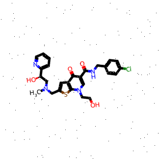 CN(Cc1cc2c(=O)c(C(=O)NCc3ccc(Cl)cc3)cn(CCO)c2s1)C[C@@H](O)c1ccccn1